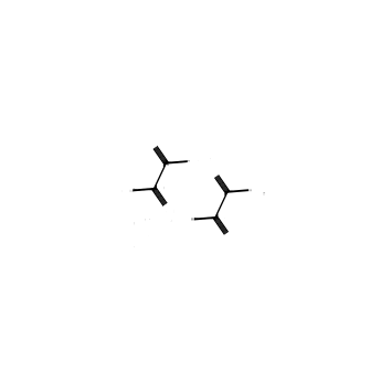 O=C([O-])C(=O)[O-].O=C([O-])C(=O)[O-].[Co+2].[Fe+2]